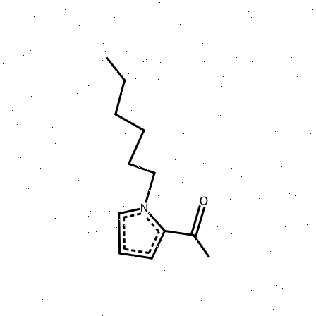 CCCCCCn1cccc1C(C)=O